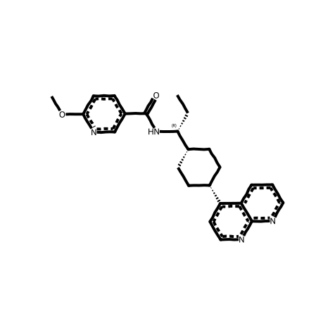 CC[C@@H](NC(=O)c1ccc(OC)nc1)[C@H]1CC[C@@H](c2ccnc3ncccc32)CC1